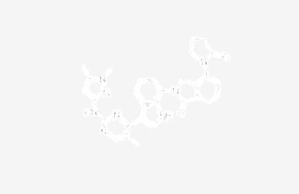 Cc1cnc(Nc2cc(C)n(C)n2)nc1-c1c[nH]c2c(N3Cc4c(cccc4N4CCCC4=O)C3=O)cccc12